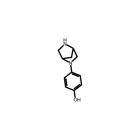 Oc1ccc(N2CC3CC2CN3)cc1